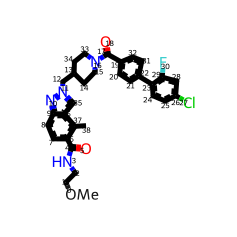 COCCNC(=O)c1ccc2nn(CC3CCN(C(=O)c4ccc(-c5ccc(Cl)cc5F)cc4)CC3)cc2c1C